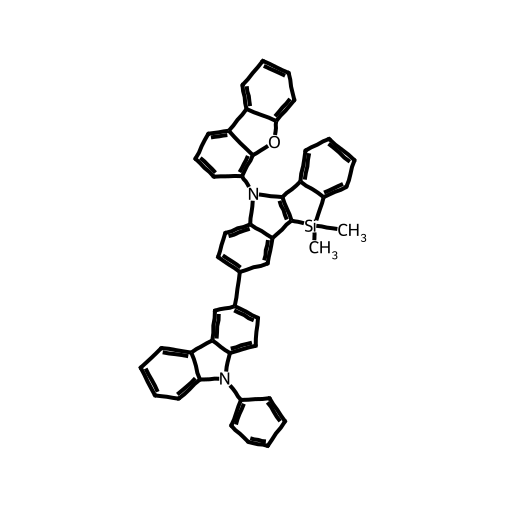 C[Si]1(C)c2ccccc2-c2c1c1cc(-c3ccc4c(c3)c3ccccc3n4-c3ccccc3)ccc1n2-c1cccc2c1oc1ccccc12